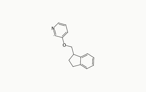 [c]1ncccc1OCC1CCc2ccccc21